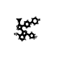 Cl.Nc1ncnc2c1c(-c1noc(C3CC3)c1-c1ccc(C3CCNCC3)cn1)nn2C1CCCC1